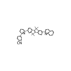 CC1(C)C2=C(c3ccc(-c4cccc(-c5ccc(C#N)cc5)n4)cc31)C(C)(C)c1cc(-c3ccc4ccccc4n3)ccc12